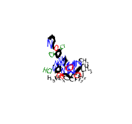 CN[C@@H](C)C(=O)N[C@H](C(=O)N(C(=O)[C@@H]1CCCN1)c1cc2c(Nc3cc(Cl)c(OCc4ccccn4)c(Cl)c3)ncnc2cc1OC)C(C)(C)C.Cl